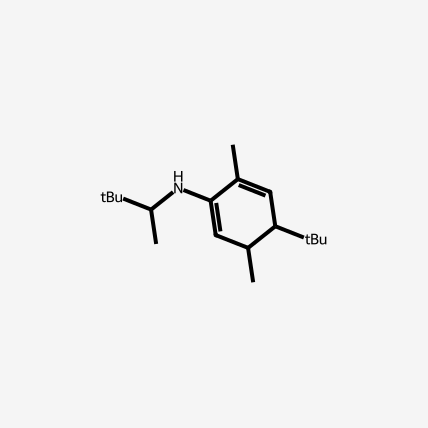 CC1=CC(C(C)(C)C)C(C)C=C1NC(C)C(C)(C)C